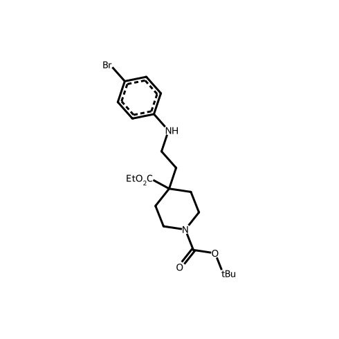 CCOC(=O)C1(CCNc2ccc(Br)cc2)CCN(C(=O)OC(C)(C)C)CC1